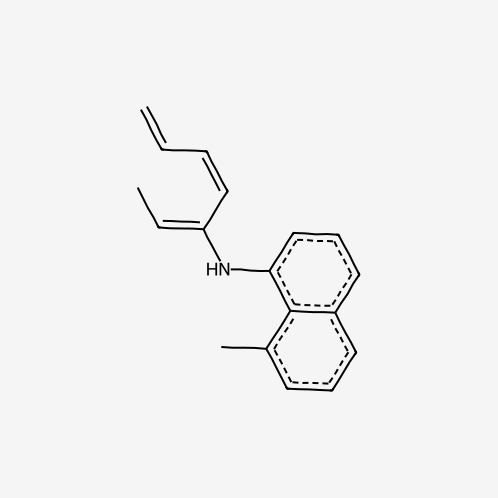 C=C/C=C\C(=C/C)Nc1cccc2cccc(C)c12